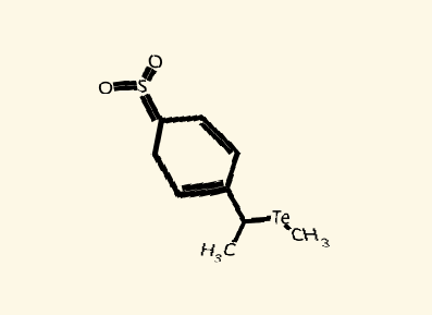 C[Te]C(C)C1=CCC(=S(=O)=O)C=C1